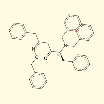 O=C(CC(Cc1ccccc1)=NOCc1ccccc1)[C@H](Cc1ccccc1)N(Cc1ccccc1)Cc1ccccc1